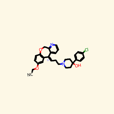 N#CCOc1ccc2c(c1)/C(=C/CCN1CCC(O)(c3ccc(Cl)cc3)CC1)c1cccnc1CO2